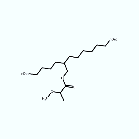 CCCCCCCCCCCCCCCCC(CCCCCCCCCCCCCC)COC(=O)C(C)OP